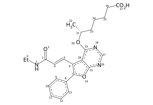 CCNC(=O)/C=C/c1c(-c2ccccc2)oc2ncnc(O[C@H](C)CCCCC(=O)O)c12